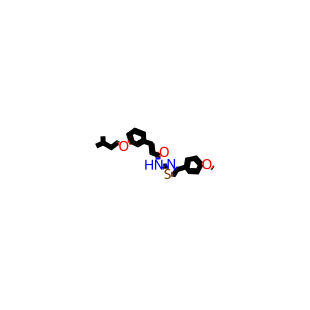 COc1ccc(C2CSC(NC(=O)/C=C/c3cccc(OCCC(C)C)c3)=N2)cc1